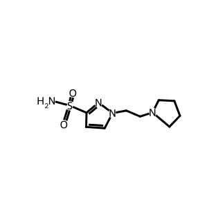 NS(=O)(=O)c1ccn(CCN2CCCC2)n1